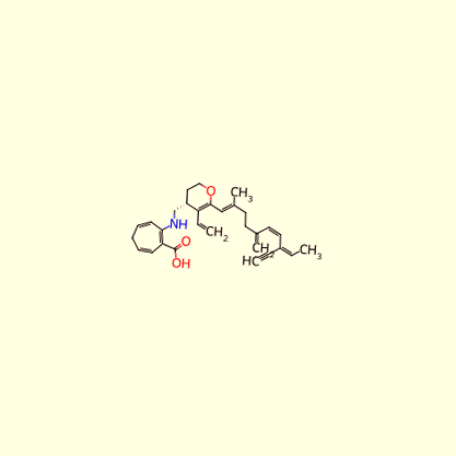 C#CC(/C=C\C(=C)CC/C(C)=C/C1=C(C=C)[C@H](CNC2=C(C(=O)O)C=CCC=C2)CCO1)=C/C